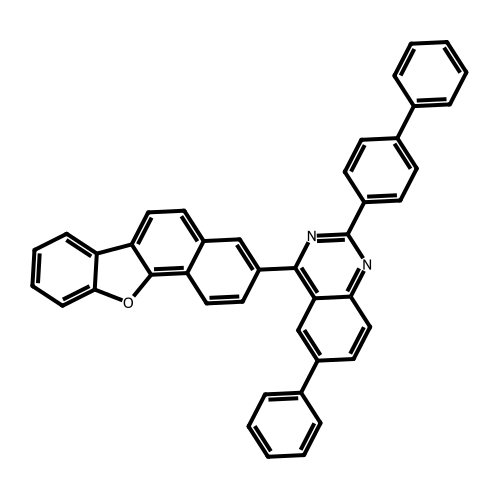 c1ccc(-c2ccc(-c3nc(-c4ccc5c(ccc6c7ccccc7oc56)c4)c4cc(-c5ccccc5)ccc4n3)cc2)cc1